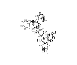 CCC(=O)N[C@@H](C(=O)N1CCN(C)CC1)C(C)c1ccc(NC(=O)C(NC(=O)c2ccnn2CC)C2CCCCCC2)c(F)c1